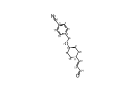 N#Cc1ccc(COC2CCC(C=CC=O)CC2)cc1